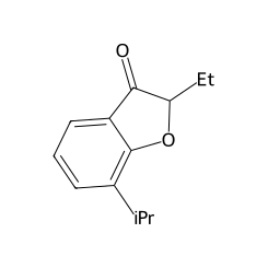 CCC1Oc2c(cccc2C(C)C)C1=O